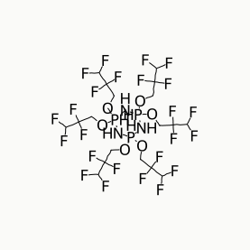 FC(F)C(F)(F)CO[PH]1(OCC(F)(F)C(F)F)N[PH](OCC(F)(F)C(F)F)(OCC(F)(F)C(F)F)N[PH](OCC(F)(F)C(F)F)(OCC(F)(F)C(F)F)N1